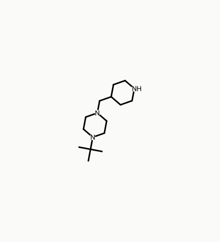 CC(C)(C)N1CCN(CC2CCNCC2)CC1